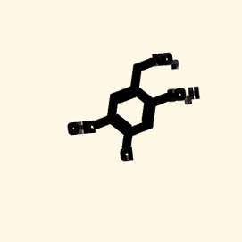 O=Cc1cc(C[N+](=O)[O-])c(S(=O)(=O)O)cc1Cl